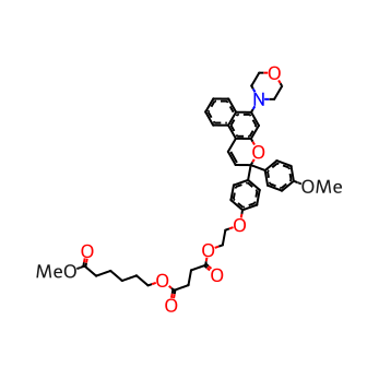 COC(=O)CCCCCOC(=O)CCC(=O)OCCOc1ccc(C2(c3ccc(OC)cc3)C=Cc3c(cc(N4CCOCC4)c4ccccc34)O2)cc1